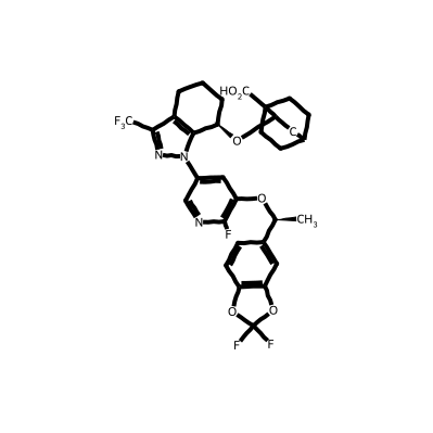 C[C@H](Oc1cc(-n2nc(C(F)(F)F)c3c2[C@H](OC2CC4CCC2(C(=O)O)CC4)CCC3)cnc1F)c1ccc2c(c1)OC(F)(F)O2